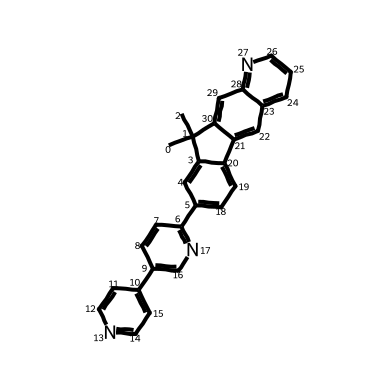 CC1(C)c2cc(-c3ccc(-c4ccncc4)cn3)ccc2-c2cc3cccnc3cc21